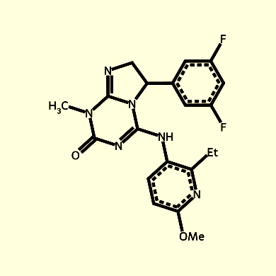 CCc1nc(OC)ccc1NC1=NC(=O)N(C)C2=NCC(c3cc(F)cc(F)c3)N12